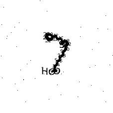 O=C(O)CCCCCCCCc1ccc(CCCc2ccccc2)s1